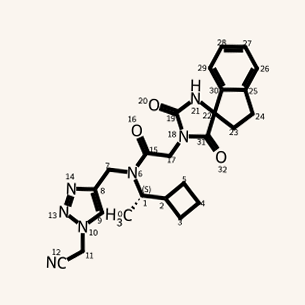 C[C@@H](C1CCC1)N(Cc1cn(CC#N)nn1)C(=O)CN1C(=O)NC2(CCc3ccccc32)C1=O